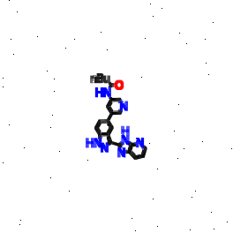 CCCCC(=O)Nc1cncc(-c2ccc3[nH]nc(-c4nc5cccnc5[nH]4)c3c2)c1